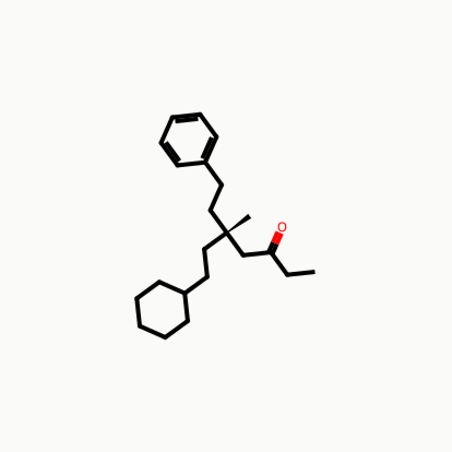 CCC(=O)C[C@@](C)(CCc1ccccc1)CCC1CCCCC1